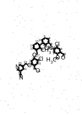 COc1cc(OCc2cccc(-c3cccc(COc4cc(OCc5cncc(C#N)c5)c(C=O)cc4Cl)c3C)c2C)c(Cl)cc1C=O